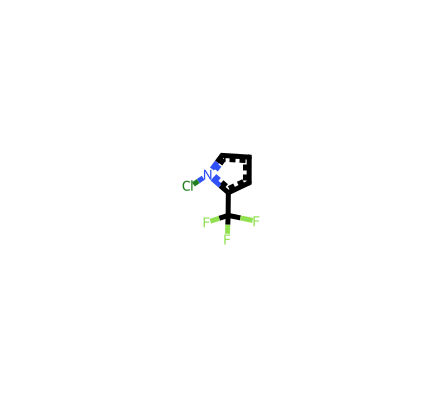 FC(F)(F)c1cccn1Cl